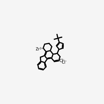 CC(C)(C)C1=CC(C2CC=CC3=C4C(=C5[CH]([Zr+2])CCCC5C32)Cc2ccccc24)C=C1.[Cl-].[Cl-]